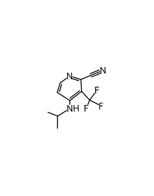 CC(C)Nc1ccnc(C#N)c1C(F)(F)F